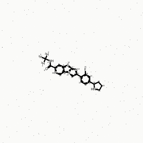 [2H]C([2H])([2H])NC(=O)c1cc2sc3nc(-c4ccc(C5CCCN5)cc4F)cn3c2cn1